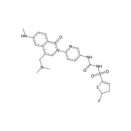 CNc1ccc2c(=O)n(-c3ccc(NC(=O)NS(=O)(=O)C4=CCC(F)S4)cn3)cc(CN(C)C)c2c1